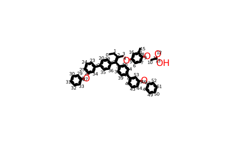 CCC(COc1ccc(OCC(=O)O)c(C)c1)=C(c1ccc(-c2cccc(Oc3ccccc3)c2)cc1)c1ccc(-c2cccc(Oc3ccccc3)c2)cc1